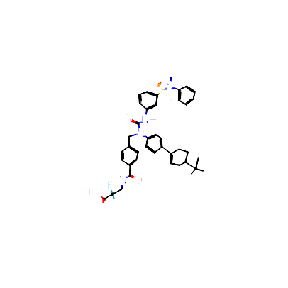 CN(c1ccccc1)S(=O)(=O)c1cccc(NC(=O)N(Cc2ccc(C(=O)NCC(F)(F)C(=O)O)cc2)c2ccc(C3=CCC(C(C)(C)C)CC3)cc2)c1